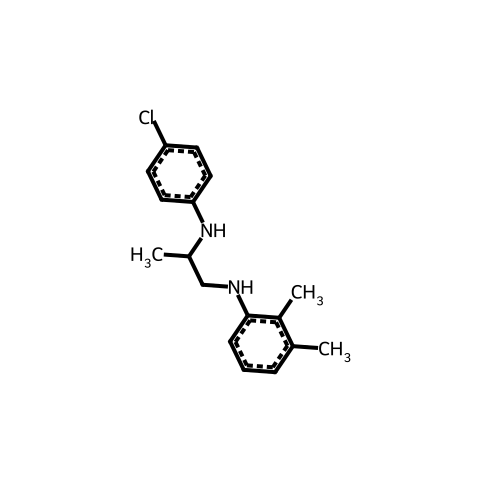 Cc1cccc(NCC(C)Nc2ccc(Cl)cc2)c1C